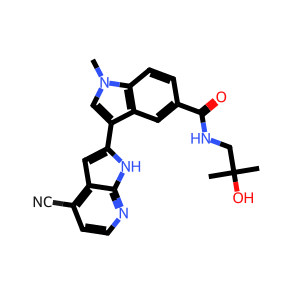 Cn1cc(-c2cc3c(C#N)ccnc3[nH]2)c2cc(C(=O)NCC(C)(C)O)ccc21